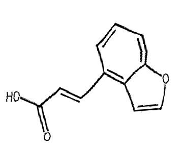 O=C(O)C=Cc1cccc2occc12